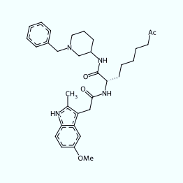 COc1ccc2[nH]c(C)c(CC(=O)N[C@@H](CCCCCC(C)=O)C(=O)NC3CCCN(Cc4ccccc4)C3)c2c1